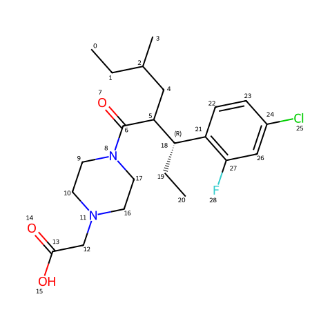 CCC(C)CC(C(=O)N1CCN(CC(=O)O)CC1)[C@@H](CC)c1ccc(Cl)cc1F